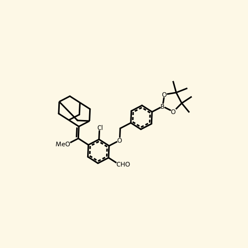 COC(=C1C2CC3CC(C2)CC1C3)c1ccc(C=O)c(OCc2ccc(B3OC(C)(C)C(C)(C)O3)cc2)c1Cl